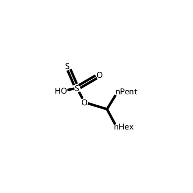 CCCCCCC(CCCCC)OS(=O)(O)=S